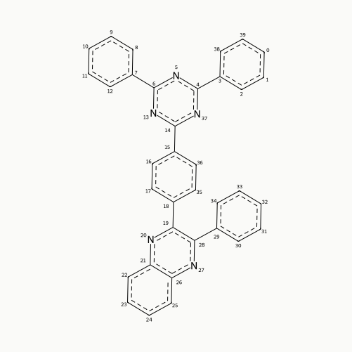 c1ccc(-c2nc(-c3ccccc3)nc(-c3ccc(-c4nc5ccccc5nc4-c4ccccc4)cc3)n2)cc1